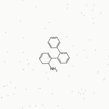 NC1CC=CC=C1c1ccccc1-c1ccccc1